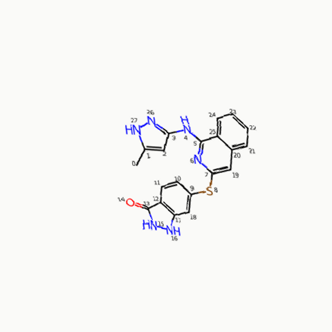 Cc1cc(Nc2nc(Sc3ccc4c(=O)[nH][nH]c4c3)cc3ccccc23)n[nH]1